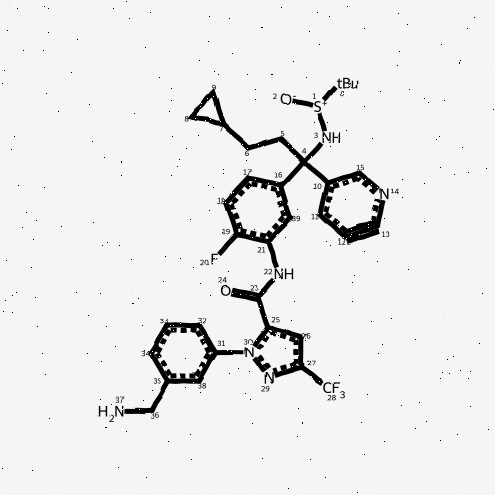 CC(C)(C)[S+]([O-])NC(CCC1CC1)(c1cc#cnc1)c1ccc(F)c(NC(=O)c2cc(C(F)(F)F)nn2-c2cccc(CN)c2)c1